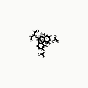 CC(=O)Oc1ccc2c3c1O[C@H]1[C@@H](OC(C)=O)C=C[C@H]4[C@@H](C2)N(C)CC[C@@]341.CCCC=O